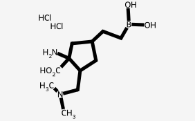 CN(C)CC1CC(CCB(O)O)CC1(N)C(=O)O.Cl.Cl